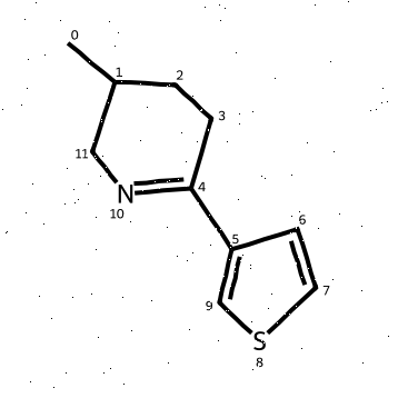 CC1CCC(c2ccsc2)=NC1